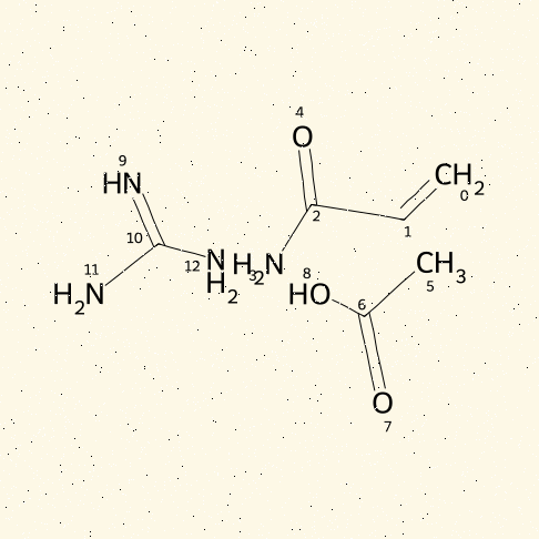 C=CC(N)=O.CC(=O)O.N=C(N)N